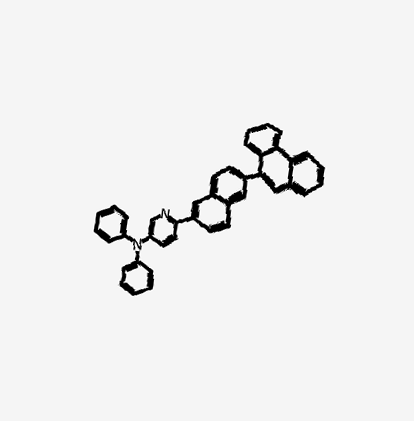 c1ccc(N(c2ccccc2)c2ccc(-c3ccc4cc(-c5cc6ccccc6c6ccccc56)ccc4c3)nc2)cc1